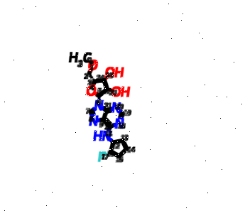 COC[C@H]1O[C@@H](n2cnc3c(N[C@H]4CCC[C@@H]4F)ncnc32)[C@H](O)[C@@H]1O